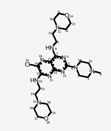 CN1CCN(c2nc(NCCN3CCOCC3)c3nc(Cl)c(NCCN4CCOCC4)nc3n2)CC1